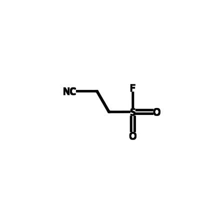 N#CCCS(=O)(=O)F